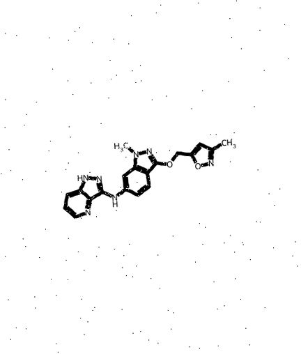 Cc1cc(COc2nn(C)c3cc(Nc4n[nH]c5cccnc45)ccc23)on1